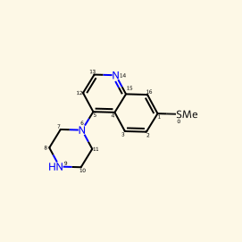 CSc1ccc2c(N3CCNCC3)ccnc2c1